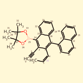 C#Cc1c(/C=C\C)c(-c2cccc3ccccc23)c2ccccc2c1B1OC(C)(C)C(C)(C)O1